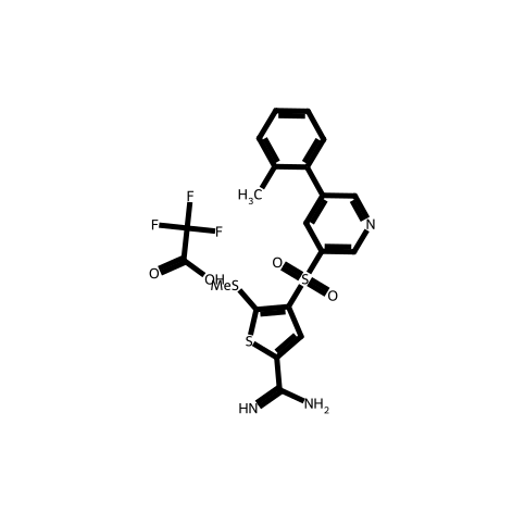 CSc1sc(C(=N)N)cc1S(=O)(=O)c1cncc(-c2ccccc2C)c1.O=C(O)C(F)(F)F